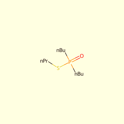 CCCCP(=O)(CCCC)SCCC